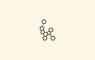 c1ccc(-c2ccc3sc4c5ccccc5c5c(c6ccccc6n5-c5ccccc5)c4c3c2)cc1